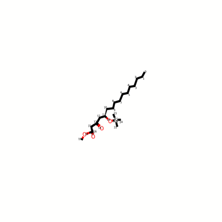 CCCCCCCCCCC[C@H](CC(=O)CC(=O)OC)O[Si](C)(C)C